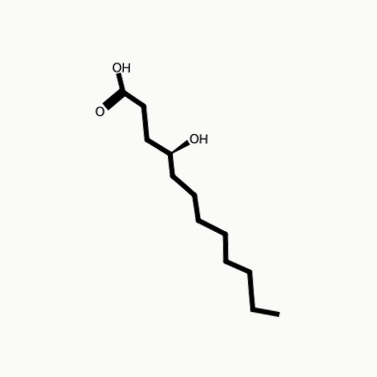 CCCCCCCC[C@H](O)CCC(=O)O